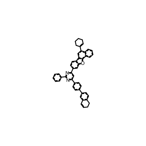 C1=Cc2cc(-c3ccc(-c4cc(-c5ccc6c(c5)oc5c7ccccc7c(C7=CCCCC7)cc65)nc(-c5ccccc5)n4)cc3)ccc2CC1